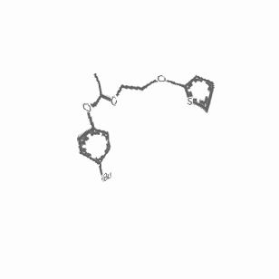 CCC(C)c1ccc(OC(C)OCCOc2cccs2)cc1